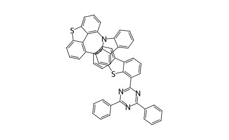 c1ccc(-c2nc(-c3ccccc3)nc(-c3cccc4c3sc3cc(-c5cccc6sc7cccc(-n8c9ccccc9c9ccccc98)c7c56)ccc34)n2)cc1